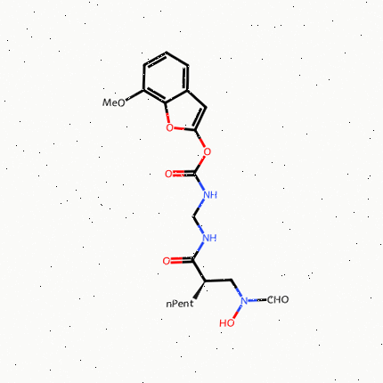 CCCCC[C@H](CN(O)C=O)C(=O)NCNC(=O)Oc1cc2cccc(OC)c2o1